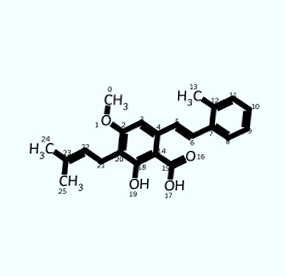 COc1cc(/C=C/c2ccccc2C)c(C(=O)O)c(O)c1CC=C(C)C